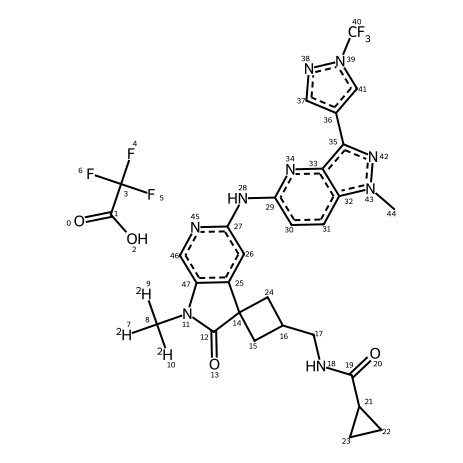 O=C(O)C(F)(F)F.[2H]C([2H])([2H])N1C(=O)C2(CC(CNC(=O)C3CC3)C2)c2cc(Nc3ccc4c(n3)c(-c3cnn(C(F)(F)F)c3)nn4C)ncc21